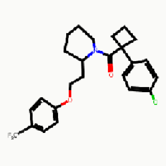 O=C(N1CCCCC1CCOc1ccc(C(F)(F)F)cc1)C1(c2ccc(Cl)cc2)CCC1